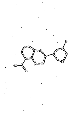 O=C(O)c1cccc2nc(-c3cccc(Br)c3)cnc12